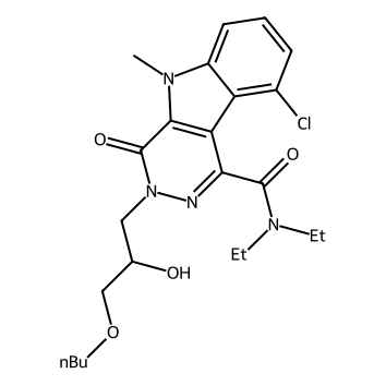 CCCCOCC(O)Cn1nc(C(=O)N(CC)CC)c2c3c(Cl)cccc3n(C)c2c1=O